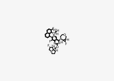 [2H]C([2H])([2H])Oc1c(F)ccc2cccc(-c3ncc4c(N5CCOC[C@H]6[C@H](F)[C@H]65)nc(OC([2H])([2H])[C@@]56CCCN5C[C@H](F)C6)nc4c3F)c12